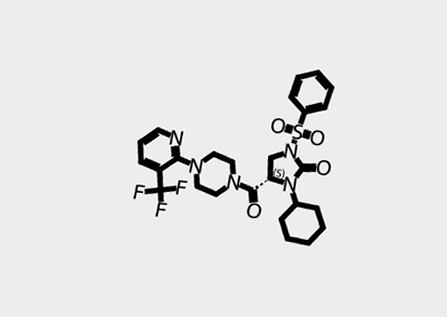 O=C([C@@H]1CN(S(=O)(=O)c2ccccc2)C(=O)N1C1CCCCC1)N1CCN(c2ncccc2C(F)(F)F)CC1